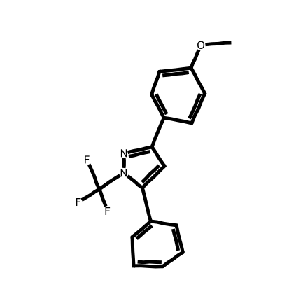 COc1ccc(-c2cc(-c3ccccc3)n(C(F)(F)F)n2)cc1